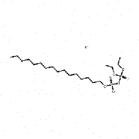 CCCCCCCCCCCCCCCCOP(=O)([O-])OP(=O)(OCC)OCC.[K+]